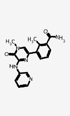 Cc1c(C(N)=O)cccc1-c1cn(C)c(=O)c(Nc2cccnc2)n1